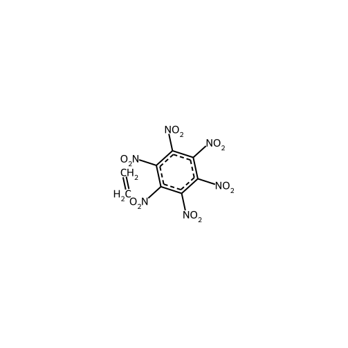 C=C.O=[N+]([O-])c1c([N+](=O)[O-])c([N+](=O)[O-])c([N+](=O)[O-])c([N+](=O)[O-])c1[N+](=O)[O-]